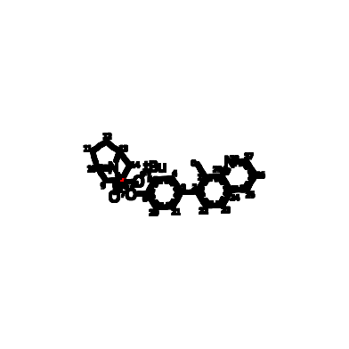 Cc1c(-c2ccc(OC3CC4CCC(C3)N4C(=O)OC(C)(C)C)cc2)ccc2cccnc12